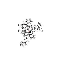 C[C@@H]1COC[C@H]1OC(=O)N[C@@H](Cc1ccccc1)[C@@H](O)C[C@@](C)(C(=O)N[C@H]1c2ccccc2C[C@H]1O)c1ccc(OCCN2CCOCC2)cc1